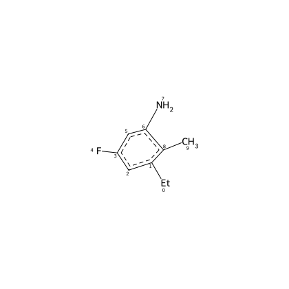 CCc1cc(F)cc(N)c1C